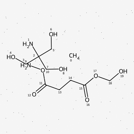 C.NC(CO)(CO)CO.NOC(=O)CCC(=O)OCO